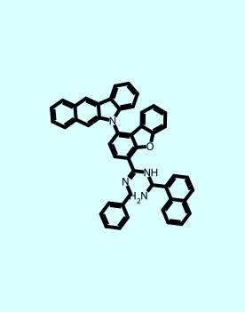 NC(N/C(=N\Cc1ccccc1)c1ccc(-n2c3ccccc3c3cc4ccccc4cc32)c2c1oc1ccccc12)c1cccc2ccccc12